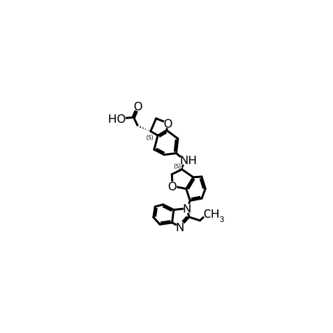 CCc1nc2ccccc2n1-c1cccc2c1OC[C@H]2Nc1ccc2c(c1)OC[C@H]2CC(=O)O